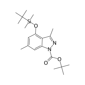 Cc1cc(O[Si](C)(C)C(C)(C)C)c2c(C)nn(C(=O)OC(C)(C)C)c2c1